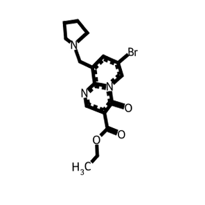 CCOC(=O)c1cnc2c(CN3CCCC3)cc(Br)cn2c1=O